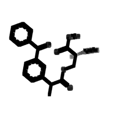 COC(=O)[C@@H](CSC(=O)C(C)c1cccc(C(=O)c2ccccc2)c1)NC(C)=O